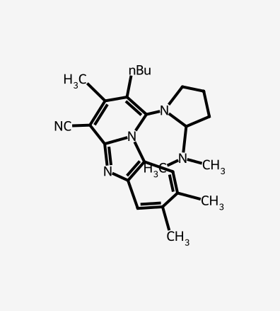 CCCCc1c(C)c(C#N)c2nc3cc(C)c(C)cc3n2c1N1CCCC1N(C)C